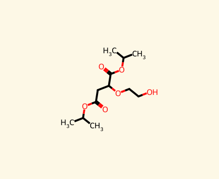 CC(C)OC(=O)CC(OCCO)C(=O)OC(C)C